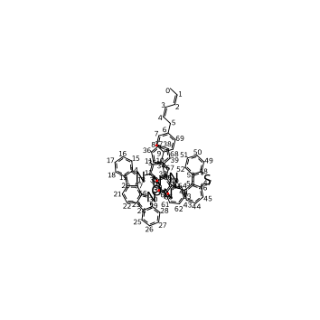 C/C=C\C=C/Cc1ccc(-c2cc(-n3c4ccccc4c4ccc5c6ccccc6n(-c6nc(-c7ccccc7)nc(-c7cccc8sc9ccccc9c78)n6)c5c43)c3oc4ccccc4c3c2)cc1